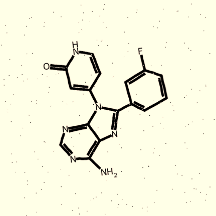 Nc1ncnc2c1nc(-c1cccc(F)c1)n2-c1cc[nH]c(=O)c1